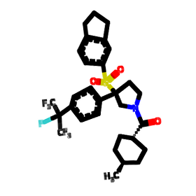 C[C@H]1CC[C@H](C(=O)N2CCC(c3ccc(C(F)(C(F)(F)F)C(F)(F)F)cc3)(S(=O)(=O)c3ccc4c(c3)CCC4)C2)CC1